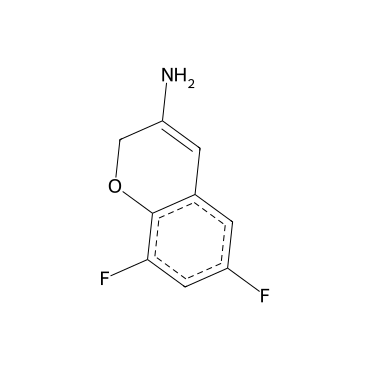 NC1=Cc2cc(F)cc(F)c2OC1